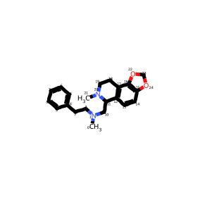 CN(CCc1ccccc1)CC1c2ccc3c(c2CCN1C)OCO3